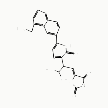 CCc1cccc2ccc(-c3ccc(C(/C=C4\OC(=O)NC4=O)C(C)C)c(=O)[nH]3)cc12